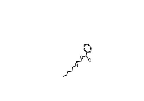 CCCCCN=CCOC(=O)c1ccccc1